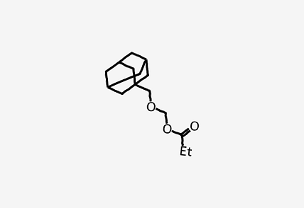 CCC(=O)OCOCC12CC3CC(CC(C3)C1)C2